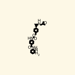 Nc1ccccc1NC(=O)c1ccc(NC(=O)OCc2ccc([C@H]3C[C@@H]3NCC3COC3)cc2)cc1